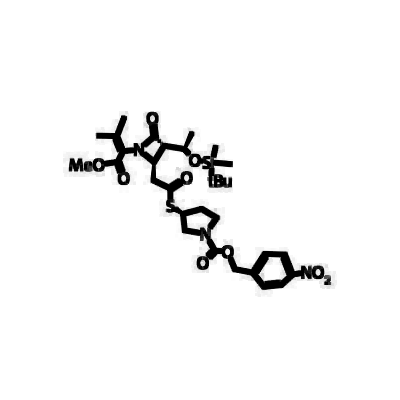 COC(=O)C(=C(C)C)N1C(=O)[C@H]([C@@H](C)O[Si](C)(C)C(C)(C)C)[C@H]1CC(=O)S[C@H]1CCN(C(=O)OCc2ccc([N+](=O)[O-])cc2)C1